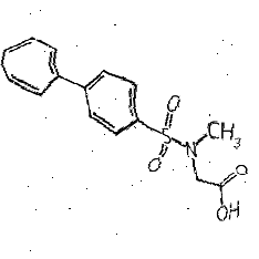 CN(CC(=O)O)S(=O)(=O)c1ccc(-c2ccccc2)cc1